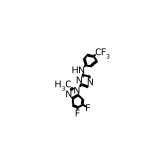 Cc1nc2cc(F)c(F)cc2n1-c1cncc(Nc2ccc(C(F)(F)F)cc2)n1